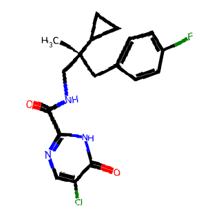 C[C@](CNC(=O)c1ncc(Cl)c(=O)[nH]1)(Cc1ccc(F)cc1)C1CC1